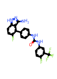 Nc1n[nH]c2ccc(F)c(-c3ccc(NC(=O)Nc4ccc(F)c(C(F)(F)F)c4)cc3)c12